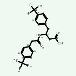 O=C(O)CC(Cc1ccc(C(F)(F)F)cc1)NC(=O)Cc1ccc(C(F)(F)F)cc1